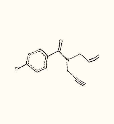 C#CCN(CC=C)C(=O)c1ccc(F)cc1